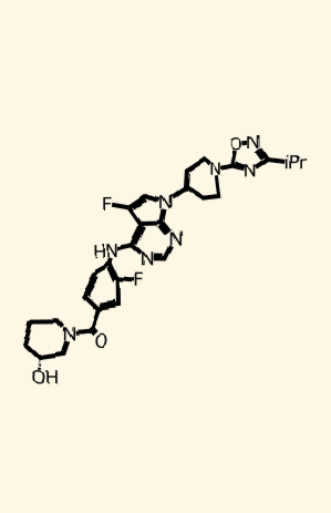 CC(C)c1noc(N2CCC(n3cc(F)c4c(Nc5ccc(C(=O)N6CCC[C@@H](O)C6)cc5F)ncnc43)CC2)n1